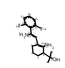 CC(C)(O)C1CCCC(/C=C(\N)c2c(F)cccc2F)=C1N